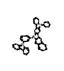 c1ccc(-n2c3ccccc3c3cc4c(cc32)c2cc3ccccc3cc2n4-c2cccc(-n3c4ccccc4c4ccccc43)c2)cc1